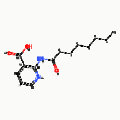 CCCCCCCC(=O)Nc1ncccc1C(=O)O